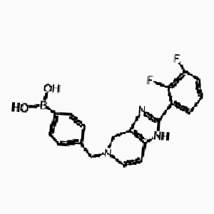 OB(O)c1ccc(CN2C=Cc3[nH]c(-c4cccc(F)c4F)nc3C2)cc1